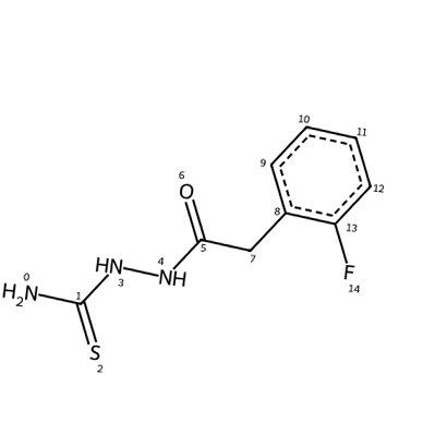 NC(=S)NNC(=O)Cc1ccccc1F